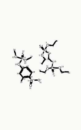 CCOP(=S)(OCC)SCSP(=S)(OCC)OCC.COP(=S)(OC)Oc1ccc([N+](=O)[O-])c(C)c1